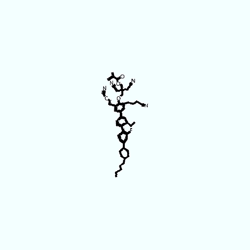 C=C(C)C(=O)OCC(CC#N)(CC#N)COc1c(CCCC#N)cc(-c2ccc(-c3ccc(C4CCC(CCCCC)CC4)cc3F)c(CC)c2)cc1CCCC#N